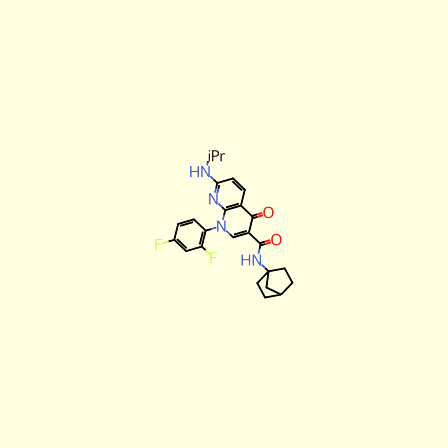 CC(C)Nc1ccc2c(=O)c(C(=O)NC34CCC(CC3)C4)cn(-c3ccc(F)cc3F)c2n1